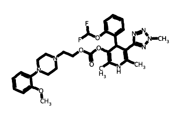 COc1ccccc1N1CCN(CCOC(=O)OC2=C(C)NC(C)=C(c3nnn(C)n3)C2c2ccccc2OC(F)F)CC1